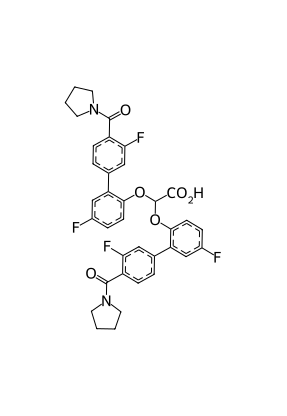 O=C(O)C(Oc1ccc(F)cc1-c1ccc(C(=O)N2CCCC2)c(F)c1)Oc1ccc(F)cc1-c1ccc(C(=O)N2CCCC2)c(F)c1